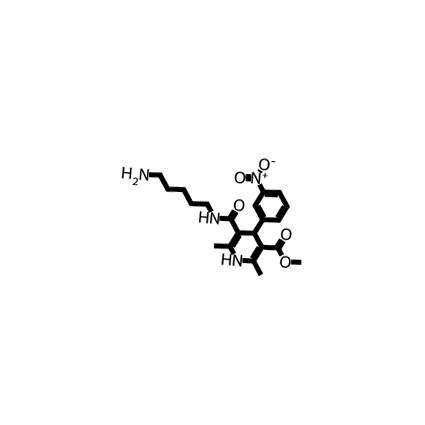 COC(=O)C1=C(C)NC(C)=C(C(=O)NCCCCCN)C1c1cccc([N+](=O)[O-])c1